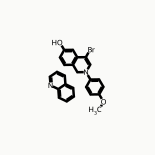 COc1ccc(N2C=C(Br)c3cc(O)ccc3C2)cc1.c1ccc2ncccc2c1